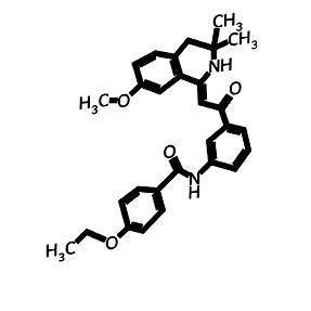 CCOc1ccc(C(=O)Nc2cccc(C(=O)C=C3NC(C)(C)Cc4ccc(OC)cc43)c2)cc1